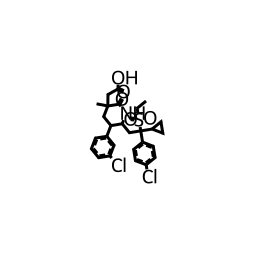 CCS(=O)(=O)C(CC1NC(=O)C(C)(CC(=O)O)CC1c1cccc(Cl)c1)(c1ccc(Cl)cc1)C1CC1